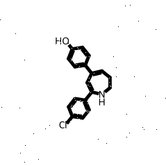 Oc1ccc(C2=CCCNC(c3ccc(Cl)cc3)=C2)cc1